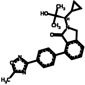 Cc1nc(-c2ccc(-c3cccc4c3C(=O)N([C@H](C3CC3)C(C)(C)O)C4)cc2)no1